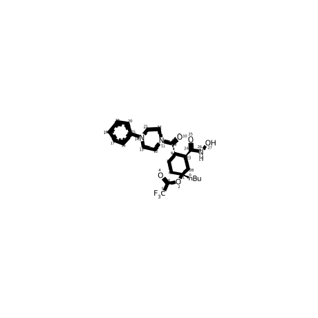 CCCC[C@@]1(OC(=O)C(F)(F)F)CC[C@H](C(=O)N2CCN(c3ccccc3)CC2)[C@@H](C(=O)NO)C1